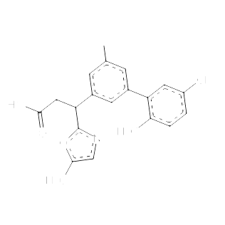 Cc1ccc(C)c(-c2cc(F)cc(C(CC(=O)O)c3ncc(C)o3)c2)c1